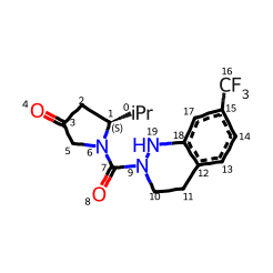 CC(C)[C@@H]1CC(=O)CN1C(=O)N1CCc2ccc(C(F)(F)F)cc2N1